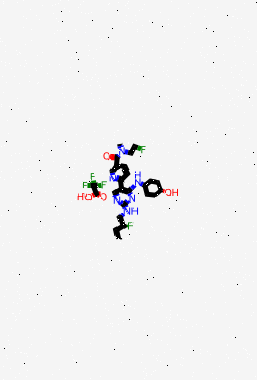 CC[C@H](F)CNc1ncc(-c2ccc(C(=O)N(C)CCF)cn2)c(NC2CCC(O)CC2)n1.O=C(O)C(F)(F)F